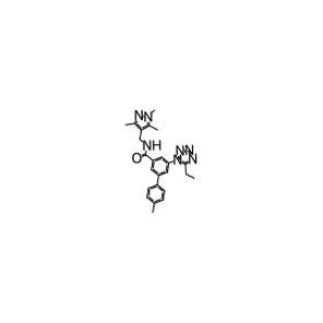 CCc1nnnn1-c1cc(C(=O)NCc2c(C)nn(C)c2C)cc(-c2ccc(C)cc2)c1